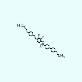 CCCCCC1CCC(CCc2ccc(OC(=O)C3CCC(C4CCC(CCC)CC4)CC3)c(F)c2F)CC1